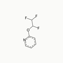 FC(F)C(F)Oc1ccccn1